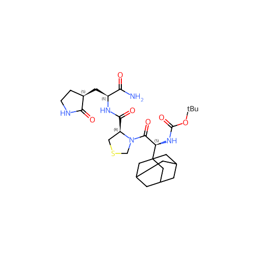 CC(C)(C)OC(=O)N[C@H](C(=O)N1CSC[C@H]1C(=O)N[C@@H](C[C@@H]1CCNC1=O)C(N)=O)C12CC3CC(CC(C3)C1)C2